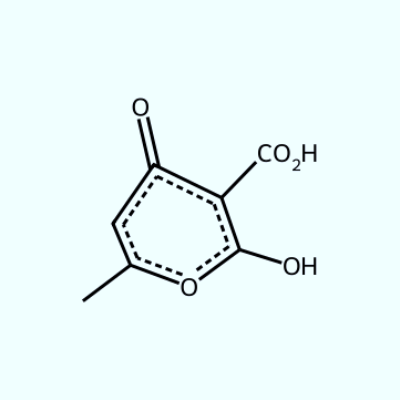 Cc1cc(=O)c(C(=O)O)c(O)o1